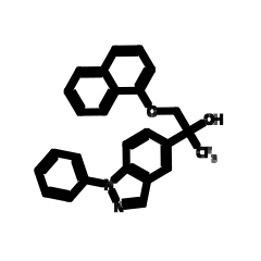 OC(COc1cccc2ccccc12)(c1ccc2c(cnn2-c2ccccc2)c1)C(F)(F)F